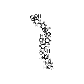 Cc1c(NC(=O)c2nc3c(n2C)CCN(CC(C)O)C3)cccc1-c1cccc(NC(=O)c2nc3c(n2C)CCN(C2CCC(C)(C(=O)O)CC2)C3)c1Cl